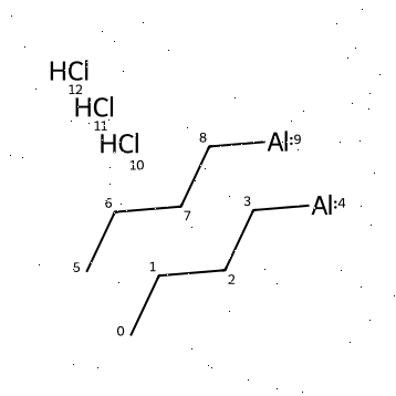 CCC[CH2][Al].CCC[CH2][Al].Cl.Cl.Cl